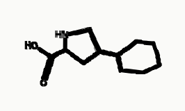 O=C(O)C1CC(C2CCCCC2)CN1